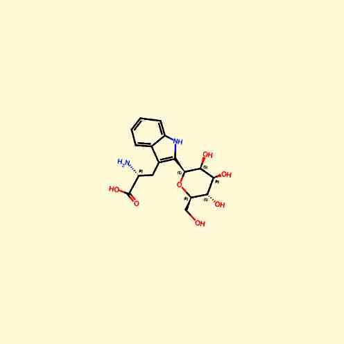 N[C@H](Cc1c([C@@H]2O[C@H](CO)[C@@H](O)[C@H](O)[C@@H]2O)[nH]c2ccccc12)C(=O)O